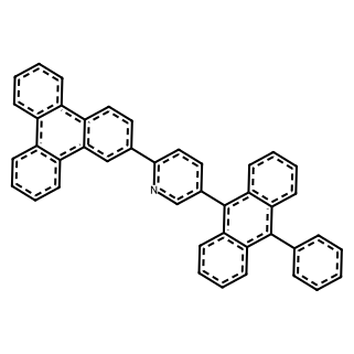 c1ccc(-c2c3ccccc3c(-c3ccc(-c4ccc5c6ccccc6c6ccccc6c5c4)nc3)c3ccccc23)cc1